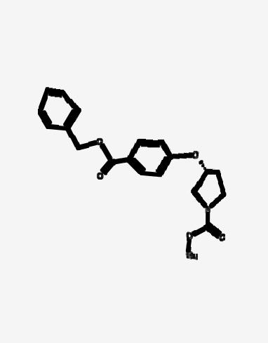 CC(C)(C)OC(=O)N1CC[C@@H](Oc2ccc(C(=O)OCc3ccccc3)cc2)C1